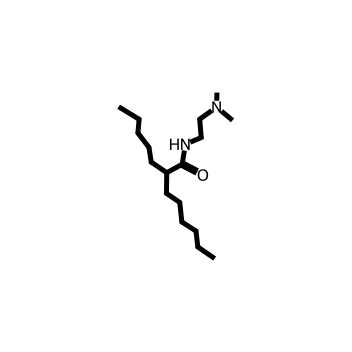 CCCCCCC(CCCCC)C(=O)NCCN(C)C